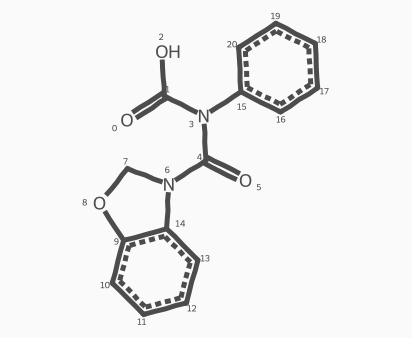 O=C(O)N(C(=O)N1COc2ccccc21)c1ccccc1